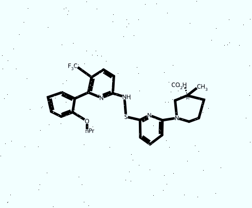 CCCOc1ccccc1-c1nc(NSc2cccc(N3CCC[C@@](C)(C(=O)O)C3)n2)ccc1C(F)(F)F